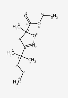 CCCC(C)(C)C1=NOC(C)(C(=O)OCC)C1